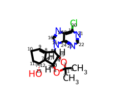 CC1(C)O[C@@H]2[C@H](O1)[C@@H]1C(=CCC[C@H]1O)[C@H]2n1cnc2c(Cl)ncnc21